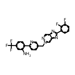 Nc1cc(C(F)(F)F)ccc1-c1ccc(Cn2cc3nc(-c4cccc(F)c4F)nc-3cn2)cn1